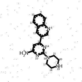 Nc1cc(-c2cnc3ccccc3c2)nc(N2CCNCC2)n1